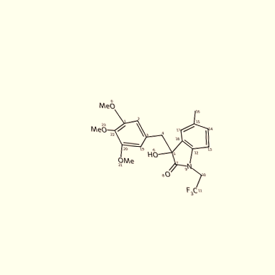 COc1cc(CC2(O)C(=O)N(CC(F)(F)F)c3ccc(C)cc32)cc(OC)c1OC